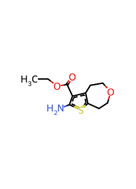 CCOC(=O)c1c(N)sc2c1CCOCC2